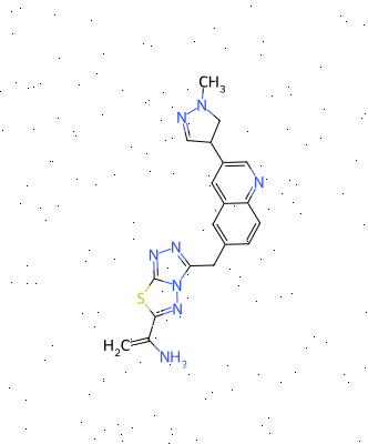 C=C(N)c1nn2c(Cc3ccc4ncc(C5C=NN(C)C5)cc4c3)nnc2s1